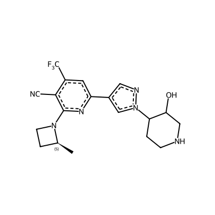 C[C@H]1CCN1c1nc(-c2cnn(C3CCNCC3O)c2)cc(C(F)(F)F)c1C#N